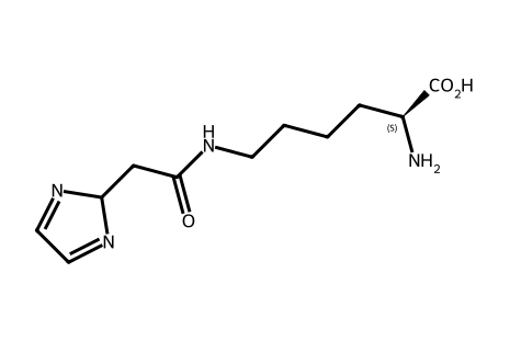 N[C@@H](CCCCNC(=O)CC1N=CC=N1)C(=O)O